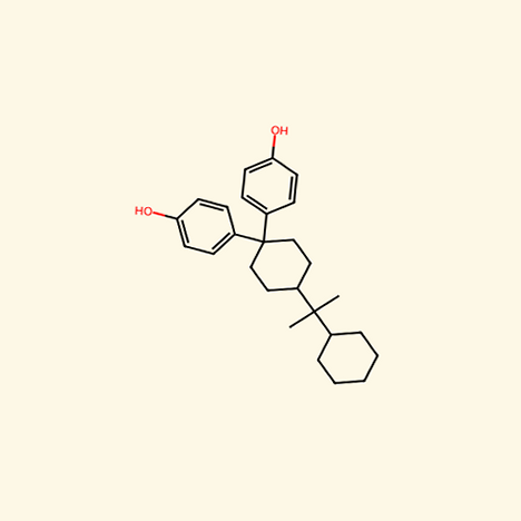 CC(C)(C1CCCCC1)C1CCC(c2ccc(O)cc2)(c2ccc(O)cc2)CC1